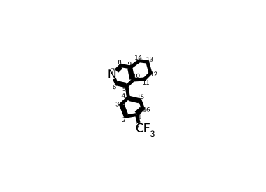 FC(F)(F)c1ccc(-c2cncc3c2CCCC3)cc1